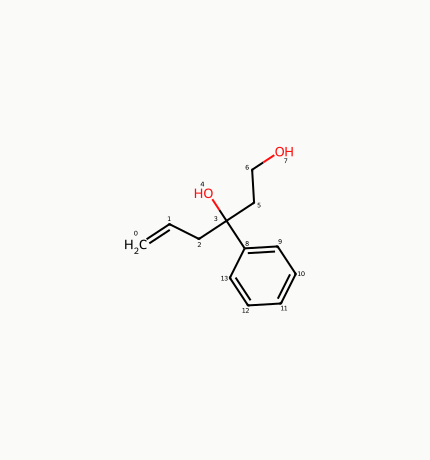 C=CCC(O)(CCO)c1ccccc1